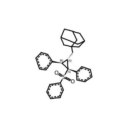 O=S(=O)(c1ccccc1)[C@@]1(c2ccccc2)[C@@H](CC23CC4CC(CC(C4)C2)C3)[C@@H]1c1ccccc1